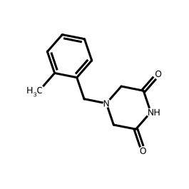 Cc1ccccc1CN1CC(=O)NC(=O)C1